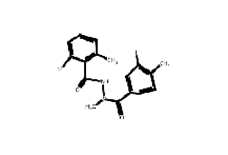 Cc1ccc(C(=O)N(C)NC(=O)c2c(C)cccc2Cl)cc1I